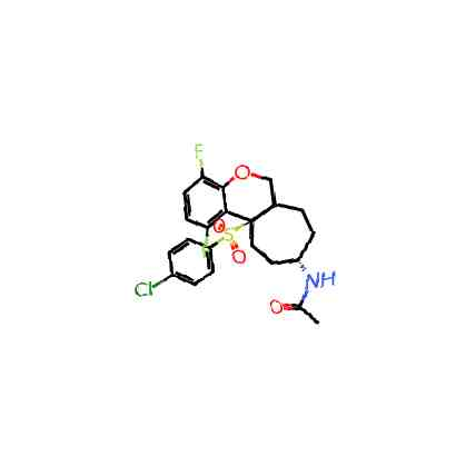 CC(=O)N[C@H]1CCC2COc3c(F)ccc(F)c3[C@@]2(S(=O)(=O)c2ccc(Cl)cc2)CC1